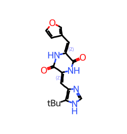 CC(C)(C)c1[nH]cnc1/C=c1\[nH]c(=O)/c(=C/c2ccoc2)[nH]c1=O